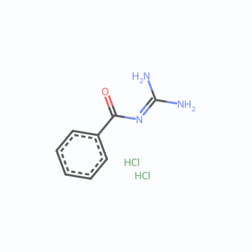 Cl.Cl.NC(N)=NC(=O)c1ccccc1